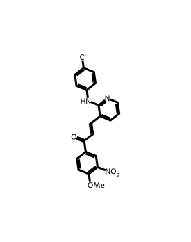 COc1ccc(C(=O)C=Cc2cccnc2Nc2ccc(Cl)cc2)cc1[N+](=O)[O-]